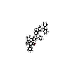 c1ccc(N(c2ccccc2)c2ccc3oc4ccc(N(c5ccccc5)c5ccc6c(c5)-c5ccccc5C65c6ccccc6N(c6ccccc6)c6ccccc65)cc4c3c2)cc1